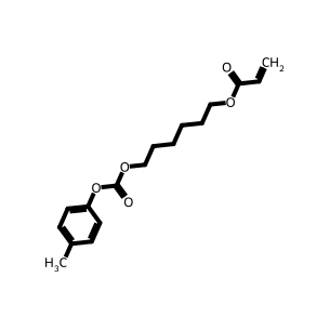 C=CC(=O)OCCCCCCOC(=O)Oc1ccc(C)cc1